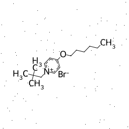 CCCCCCOc1cc[n+](CC(C)(C)C)cc1.[Br-]